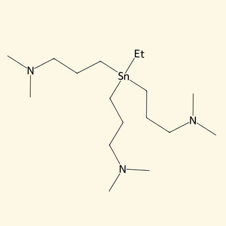 C[CH2][Sn]([CH2]CCN(C)C)([CH2]CCN(C)C)[CH2]CCN(C)C